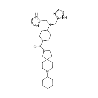 O=C(C1CCC(N(Cc2ncc[nH]2)Cc2ncc[nH]2)CC1)N1CCC2(CCN(C3CCCCC3)CC2)C1